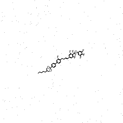 CCCCCC1COC(c2ccc(-c3ccc(CC/C=C/c4cc(F)c(C(F)(F)Oc5cc(F)c(F)c(F)c5)c(F)c4)c(F)c3)cc2)OC1